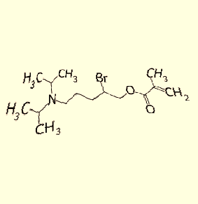 C=C(C)C(=O)OCC(Br)CCCN(C(C)C)C(C)C